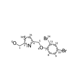 [O]Cc1nc(COc2ccc(Br)cc2Br)cs1